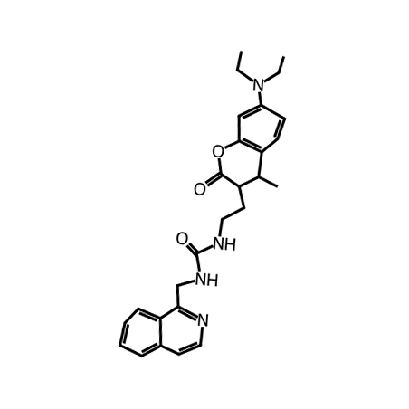 CCN(CC)c1ccc2c(c1)OC(=O)C(CCNC(=O)NCc1nccc3ccccc13)C2C